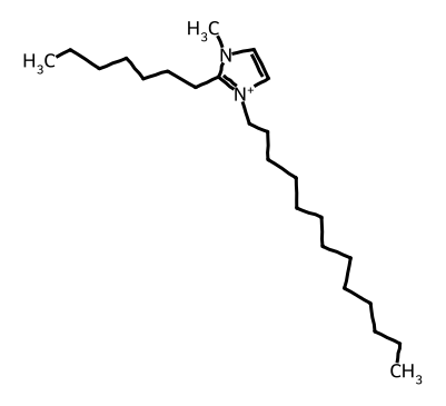 CCCCCCCCCCCCC[n+]1ccn(C)c1CCCCCCC